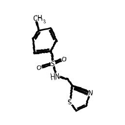 Cc1ccc(S(=O)(=O)NCc2nccs2)cc1